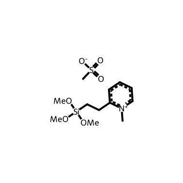 CO[Si](CCc1cccc[n+]1C)(OC)OC.CS(=O)(=O)[O-]